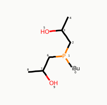 CCC(C)P(CC(C)O)CC(C)O